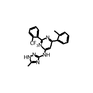 Cc1nc(Nc2cc(-c3ccccc3C)nc(-c3ccccc3C(F)(F)F)n2)n[nH]1